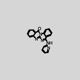 O=c1c2ccccc2nc2nc(Nc3ccccn3)c3ccccc3n12